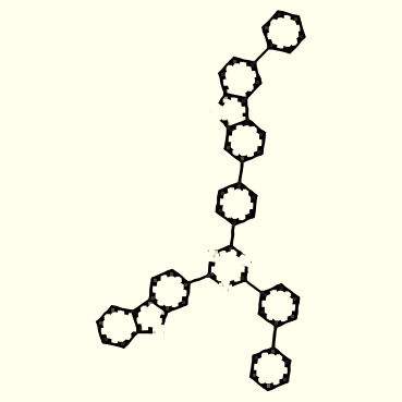 c1ccc(-c2cccc(-c3nc(-c4ccc(-c5ccc6c(c5)oc5ccc(-c7ccccc7)cc56)cc4)nc(-c4ccc5c(c4)oc4ccccc45)n3)c2)cc1